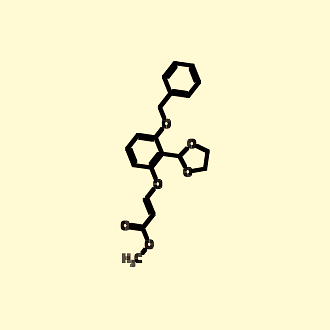 COC(=O)/C=C/Oc1cccc(OCc2ccccc2)c1C1OCCO1